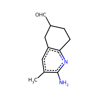 Cc1cc2c(nc1N)CCC(C=O)C2